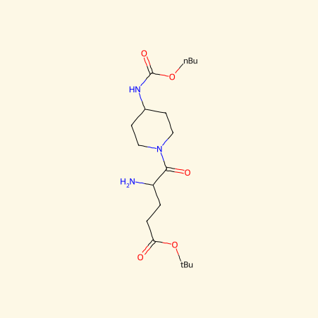 CCCCOC(=O)NC1CCN(C(=O)C(N)CCC(=O)OC(C)(C)C)CC1